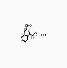 CCOC(=O)CNC(=O)c1ccccc1/C=C/[C]=O